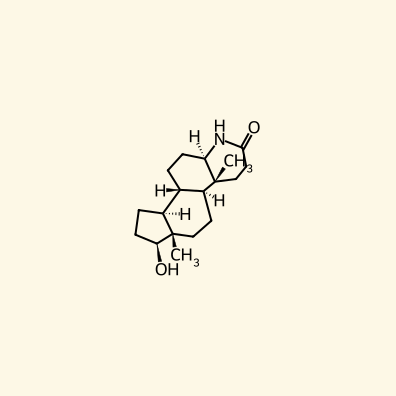 C[C@]12CCC(=O)N[C@@H]1CC[C@@H]1[C@@H]2CC[C@]2(C)[C@@H](O)CC[C@@H]12